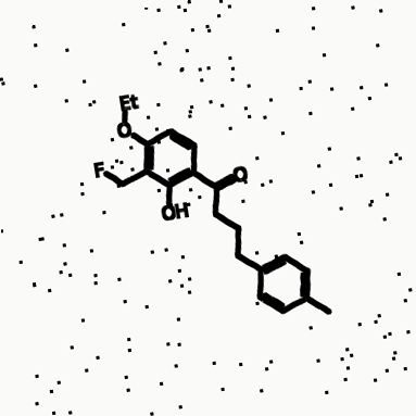 CCOc1ccc(C(=O)CCCc2ccc(C)cc2)c(O)c1CF